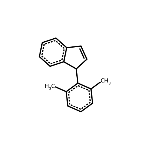 Cc1cccc(C)c1[C]1C=Cc2ccccc21